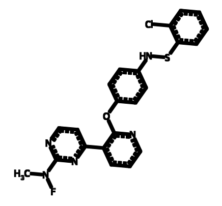 CN(F)c1nccc(-c2cccnc2Oc2ccc(NSc3ccccc3Cl)cc2)n1